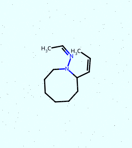 C/C=C\C1CCCCCCN1/N=C\C